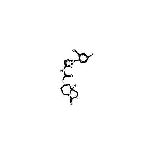 O=C(C[C@H]1CCN2C(=O)OC[C@H]2C1)Nc1ccn(-c2ccc(F)cc2Cl)n1